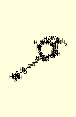 CNCCC[C@@H]1NC(=O)[C@@H](N)Cc2cn(nn2)CCCC[C@@H](C(=O)NCCCOCCOCCOCCCNC(=O)CCCC[C@H]2SC[C@H]3NC(=O)N[C@H]32)NC(=O)[C@H](CO)NC(=O)C(C(C)O)NC(=O)[C@H](C)NC(=O)[C@H](CCCNC(=N)N)NC1=O